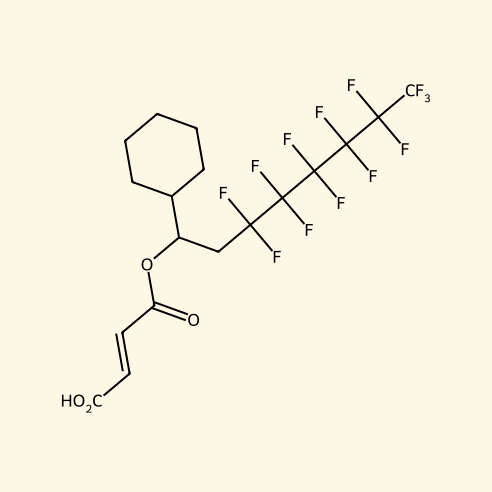 O=C(O)/C=C/C(=O)OC(CC(F)(F)C(F)(F)C(F)(F)C(F)(F)C(F)(F)C(F)(F)F)C1CCCCC1